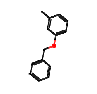 Cc1cccc(OCc2c[c]ccc2)c1